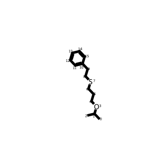 CC(C)OCCCSCCc1ccccc1